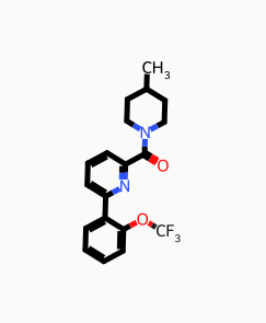 CC1CCN(C(=O)c2cccc(-c3ccccc3OC(F)(F)F)n2)CC1